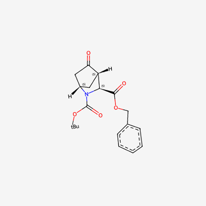 CC(C)(C)OC(=O)N1[C@@H]2CC(=O)[C@@H](C2)[C@H]1C(=O)OCc1ccccc1